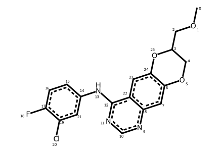 COCC1COc2cc3ncnc(Nc4ccc(F)c(Cl)c4)c3cc2O1